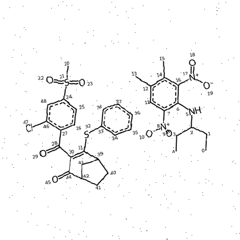 CCC(CC)Nc1c([N+](=O)[O-])cc(C)c(C)c1[N+](=O)[O-].CS(=O)(=O)c1ccc(C(=O)C2=C(Sc3ccccc3)C3CCC(C3)C2=O)c(Cl)c1